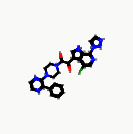 O=C(C(=O)N1CCN(c2nccnc2-c2ccccc2)CC1)c1c[nH]c2c(-n3ccnn3)ncc(F)c12